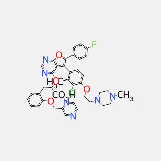 Cc1c(-c2c(-c3ccc(F)cc3)oc3ncnc(OC(Cc4ccccc4OCc4cnccn4)C(=O)O)c23)ccc(OCCN2CCN(C)CC2)c1Cl